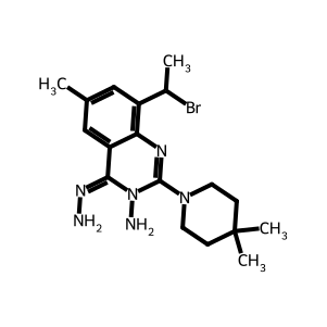 Cc1cc(C(C)Br)c2nc(N3CCC(C)(C)CC3)n(N)/c(=N\N)c2c1